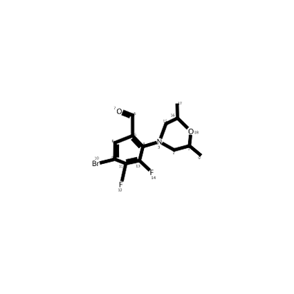 CC1CN(c2c(C=O)cc(Br)c(F)c2F)CC(C)O1